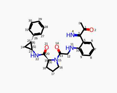 CC(=O)C(=N)c1ccccc1NCC(=O)N1CCC[C@H]1C(=O)N[C@H]1C[C@@H]1c1ccccc1